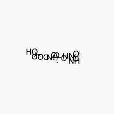 CC(CC(=O)N1CCC(OCC(=O)O)CC1)C(=O)c1ccc(C(=N)NC(=O)OC(C)(C)C)cc1